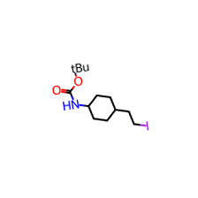 CC(C)(C)OC(=O)NC1CCC(CCI)CC1